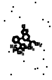 C=CC(=O)N1Cc2sc(Cl)cc2[C@H](c2ccccc2-c2cn(C)nc2C(C)(C)F)C1